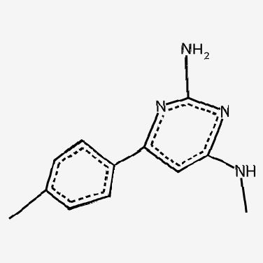 CNc1cc(-c2ccc(C)cc2)nc(N)n1